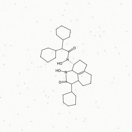 O=C1C(C2CCCCC2)C2CCCC3=C2C([C@H](N(O)C(=O)C(C2CCCCC2)C2CCCCC2)CC3)N1O